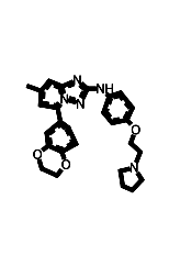 Cc1cc(-c2ccc3c(c2)OCCO3)n2nc(Nc3ccc(OCCN4CCCC4)cc3)nc2c1